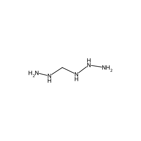 NNCNNN